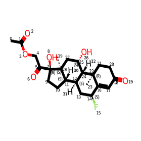 CC(=O)OCC(=O)[C@@]1(O)CC[C@H]2[C@@H]3C[C@H](F)C4=CC(=O)CC[C@]4(C)[C@H]3[C@@H](O)C[C@@]21C